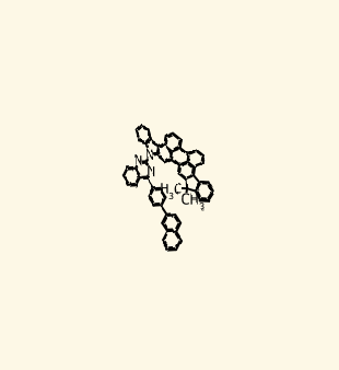 CC1(C)c2ccccc2-c2c1cc1c3cc4c(c5cccc(c6cccc2c61)c35)c1ccccc1n4-c1nc(-c2ccc(-c3ccc4ccccc4c3)cc2)c2ccccc2n1